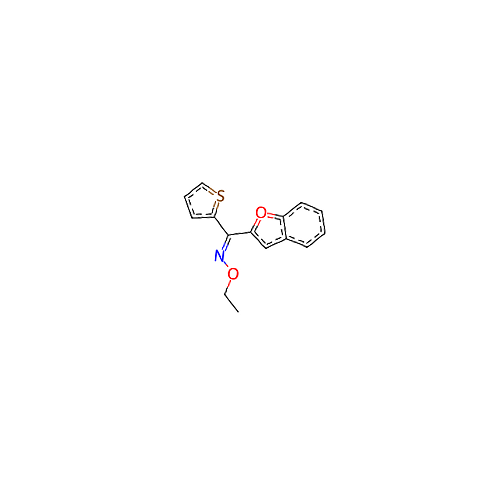 CCO/N=C(\c1cc2ccccc2o1)c1cccs1